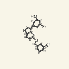 Oc1cc(F)cc(-c2cnc3ccc(OCc4cccc(Cl)c4)nn23)c1